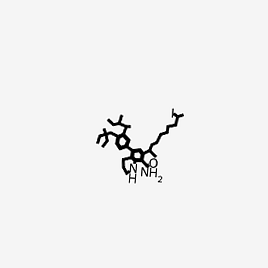 CCC(C)C(C)c1cc(-c2cc(C(C)CCCCCCC(C)I)c(C(N)=O)c3c2CCCN3)ccc1CC(C)(CC)CC